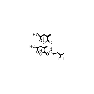 C=C(CC(=O)O)C(=O)O.C=C(CC(=O)O)C(=O)O.CC(O)CCO